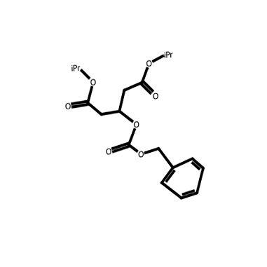 CC(C)OC(=O)CC(CC(=O)OC(C)C)OC(=O)OCc1ccccc1